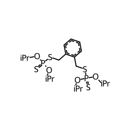 CC(C)OP(=S)(OC(C)C)SCc1ccccc1CSP(=S)(OC(C)C)OC(C)C